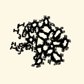 CC(C)(C)c1cc(N2c3cc4c(-c5ccccc5)c5ccccc5c(-c5ccccc5)c4cc3B3c4c2cc2oc5ccccc5c2c4-c2cc4ccccc4c4c5c6ccccc6ccc5n3c24)cc(C(C)(C)C)c1